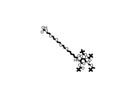 CC(OCO[C@@H]1OC(OC(=O)C(C)(C)C)[C@@H](NC(=O)CCCCCOCCOCCOCCOCCOC(=O)O)[C@H](OC(=O)C(C)(C)C)[C@@H]1OC(=O)C(C)(C)C)C(C)(C)C